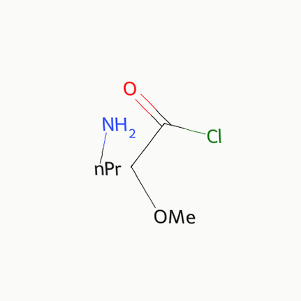 CCCN.COCC(=O)Cl